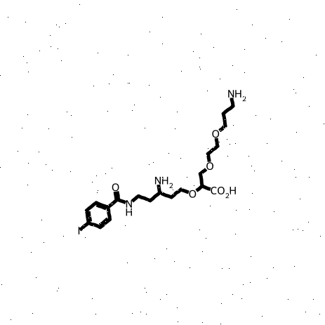 NCCCOCCOCC(OCCC(N)CCNC(=O)c1ccc(I)cc1)C(=O)O